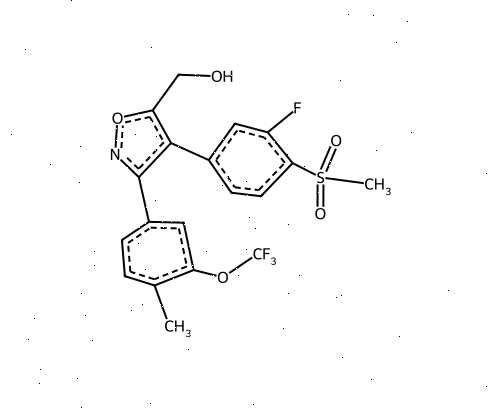 Cc1ccc(-c2noc(CO)c2-c2ccc(S(C)(=O)=O)c(F)c2)cc1OC(F)(F)F